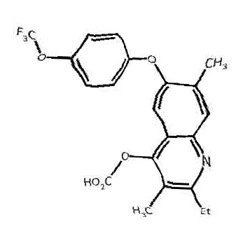 CCc1nc2cc(C)c(Oc3ccc(OC(F)(F)F)cc3)cc2c(OC(=O)O)c1C